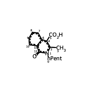 CCCCCn1c(C)c(C(=O)O)c2ccccc2c1=O